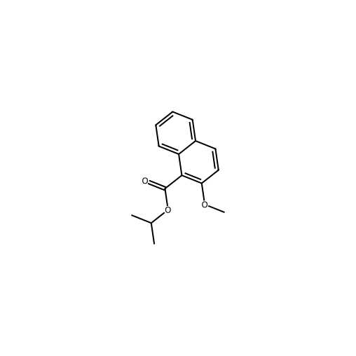 COc1ccc2ccccc2c1C(=O)OC(C)C